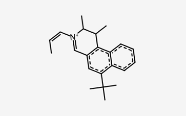 C/C=C\[N+]1=Cc2cc(C(C)(C)C)c3ccccc3c2C(C)C1C